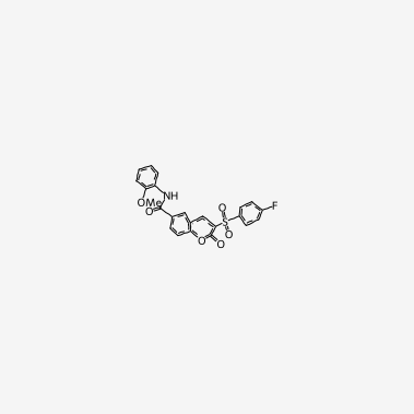 COc1ccccc1NC(=O)c1ccc2oc(=O)c(S(=O)(=O)c3ccc(F)cc3)cc2c1